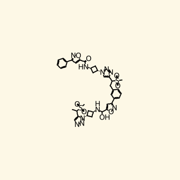 CC(c1cnnn1[C@H]1C[C@H](NC(O)c2cc(-c3cccc(CC(c4cn([C@H]5C[C@H](NC(=O)c6cc(-c7ccccc7)no6)C5)nn4)S(C)(=O)=O)c3)no2)C1)S(C)(=O)=O